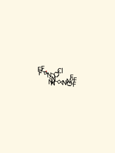 Fc1ccc(N2CC3(CC(c4nnc5n4-c4ccc(Cl)cc4CN(C46CC(C(F)(F)F)(C4)C6)C5)C3)C2)nc1C(F)F